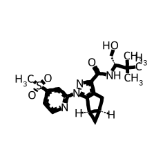 CC(C)(C)[C@@H](CO)NC(=O)c1nn(-c2cc(S(C)(=O)=O)ccn2)c2c1C[C@H]1C[C@@H]21